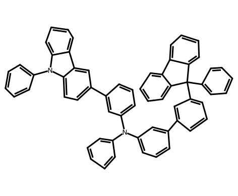 c1ccc(N(c2cccc(-c3cccc(C4(c5ccccc5)c5ccccc5-c5ccccc54)c3)c2)c2cccc(-c3ccc4c(c3)c3ccccc3n4-c3ccccc3)c2)cc1